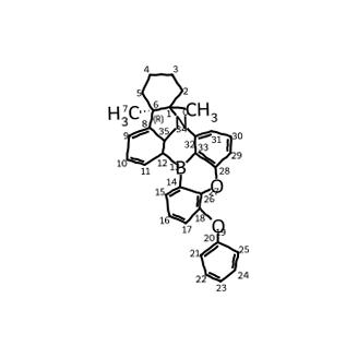 CC12CCCC[C@]1(C)C1=CC=CC3B4c5cccc(Oc6ccccc6)c5Oc5cccc(c54)N2C13